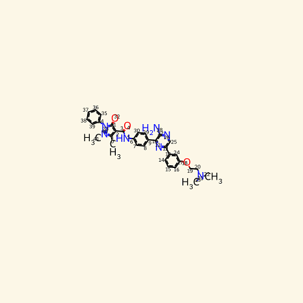 Cc1c(C(=O)Nc2ccc(-c3nc(-c4cccc(OCCN(C)C)c4)cnc3N)cc2)c(=O)n(-c2ccccc2)n1C